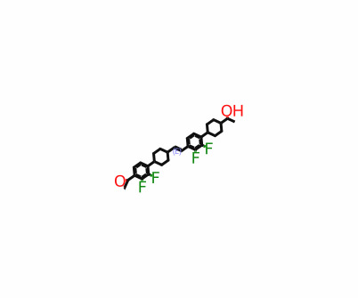 CC(O)C1CCC(c2ccc(/C=C/C3CCC(c4ccc(C5CO5)c(F)c4F)CC3)c(F)c2F)CC1